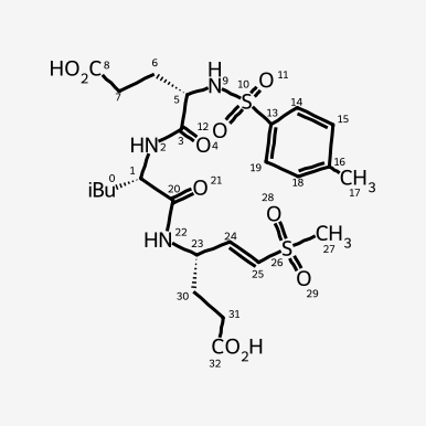 CCC(C)[C@H](NC(=O)[C@H](CCC(=O)O)NS(=O)(=O)c1ccc(C)cc1)C(=O)N[C@H](/C=C/S(C)(=O)=O)CCC(=O)O